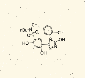 CCCCN(C)S(=O)(=O)c1cc(-c2nnc(O)n2-c2ccccc2Cl)c(O)cc1O